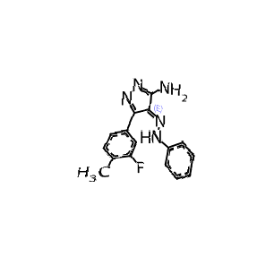 Cc1ccc(C2=NN=C(N)/C2=N/Nc2ccccc2)cc1F